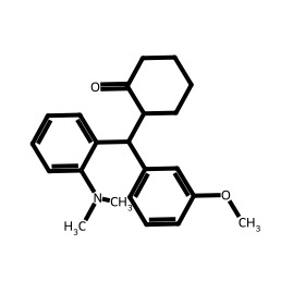 COc1cccc(C(c2ccccc2N(C)C)C2CCCCC2=O)c1